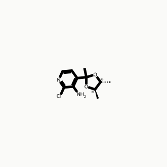 C[C@H]1OC(C)(c2ccnc(Cl)c2N)O[C@@H]1C